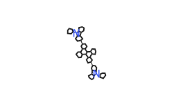 c1ccc(-n2c3ccccc3c3cc(-c4ccc5c(c4)c4ccccc4c4c6ccc(-c7ccc8c(c7)c7ccccc7n8-c7ccccc7)cc6c6ccccc6c54)ccc32)cc1